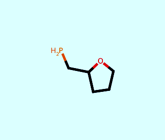 PCC1CCCO1